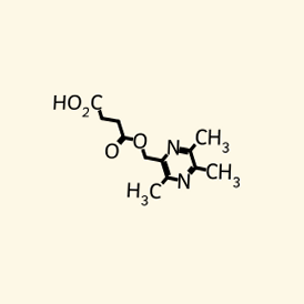 Cc1nc(C)c(COC(=O)CCC(=O)O)nc1C